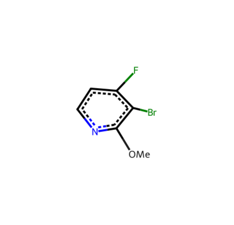 COc1nccc(F)c1Br